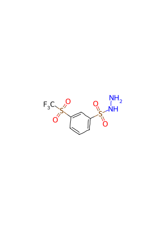 NNS(=O)(=O)c1cccc(S(=O)(=O)C(F)(F)F)c1